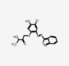 CC(O)C(=O)CSc1cc(O)c(Cl)cc1/N=N/c1snc2ccccc12